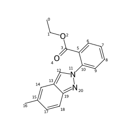 CCOC(=O)c1ccccc1-n1cc2cc(C)ccc2n1